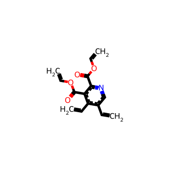 C=COC(=O)c1ncc(C=C)c(C=C)c1C(=O)OC=C